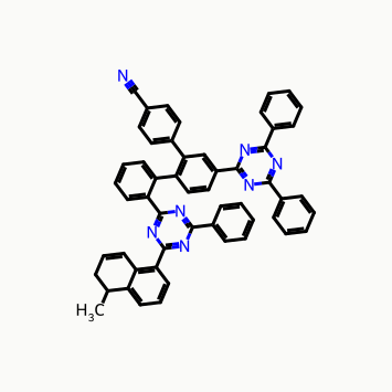 CC1CC=Cc2c(-c3nc(-c4ccccc4)nc(-c4ccccc4-c4ccc(-c5nc(-c6ccccc6)nc(-c6ccccc6)n5)cc4-c4ccc(C#N)cc4)n3)cccc21